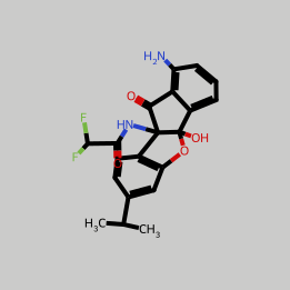 CC(C)c1ccc2c(c1)OC1(O)c3cccc(N)c3C(=O)C21NC(=O)C(F)F